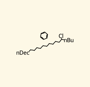 CCCCCCCCCCCCCCCCCCCCC(Cl)CCCC.c1ccccc1